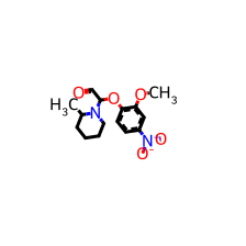 COc1cc([N+](=O)[O-])ccc1OC(C=O)N1CCCCC1C